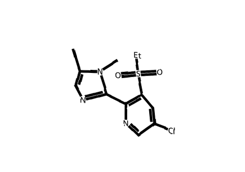 CCS(=O)(=O)c1cc(Cl)cnc1-c1ncc(C)n1C